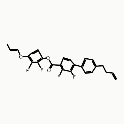 C=CCCc1ccc(-c2ccc(C(=O)Oc3ccc(O/C=C/C)c(F)c3F)c(F)c2F)cc1